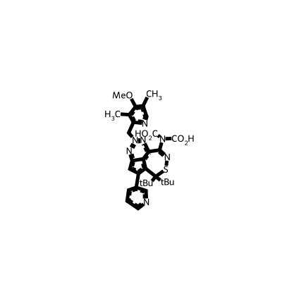 COc1c(C)cnc(Cn2nc3cc(-c4cccnc4)c4c-3c(n2)C(N(C(=O)O)C(=O)O)=NSC4(C(C)(C)C)C(C)(C)C)c1C